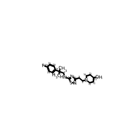 CC(C)(CNc1nc(CCN2CCC(O)CC2)ns1)c1ccc(F)cc1